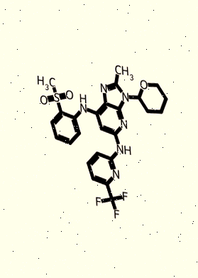 Cc1nc2c(Nc3ccccc3S(C)(=O)=O)cc(Nc3cccc(C(F)(F)F)n3)nc2n1C1CCCCO1